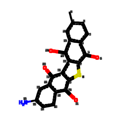 Cc1ccc2c(=O)c3sc4c(=O)c5ccc(N)cc5c(=O)c4c3c(=O)c2c1